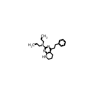 C=CCN(CC=C)c1nc(CCc2ccccc2)c2c(n1)NCCC2